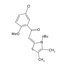 CCCCN1C(=CC(=O)c2cc(Cl)ccc2OC)SC(C)=C1C